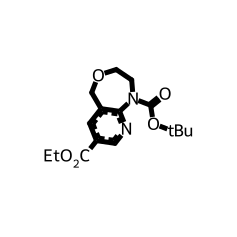 CCOC(=O)c1cnc2c(c1)COCCN2C(=O)OC(C)(C)C